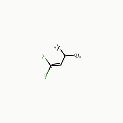 CC(C)C=C(Cl)Cl